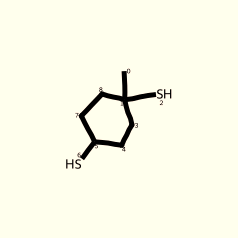 CC1(S)CCC(S)CC1